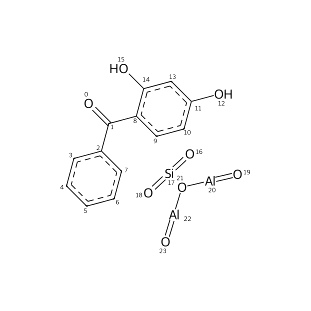 O=C(c1ccccc1)c1ccc(O)cc1O.O=[Si]=O.[O]=[Al][O][Al]=[O]